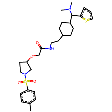 Cc1ccc(S(=O)(=O)N2CCC(OCC(=O)NCCC3CCC(C(c4cccs4)N(C)C)CC3)C2)cc1